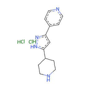 Cl.Cl.c1cc(-c2cc(C3CCNCC3)[nH]n2)ccn1